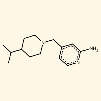 CC(C)C1CCN(Cc2ccnc(N)c2)CC1